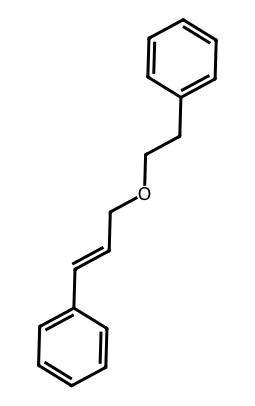 C(=Cc1ccccc1)COCCc1ccccc1